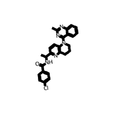 Cc1nc(N2CCCc3nc(C(C)NC(=O)c4ccc(Cl)cc4)ccc32)c2ccccc2n1